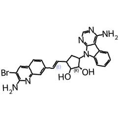 Nc1nc2cc(/C=C/C3CC(n4c5ccccc5c5c(N)ncnc54)[C@@H](O)C3O)ccc2cc1Br